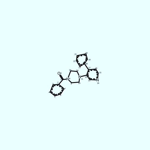 O=C(c1ccccc1)N1CCN(c2cnccc2-c2ccccc2)CC1